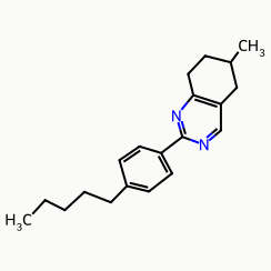 CCCCCc1ccc(-c2ncc3c(n2)CCC(C)C3)cc1